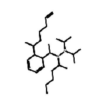 C=CCCCC(C)C1C=CC=CC1C(C)B(C(C)CCCC)N(C(C)C)C(C)C